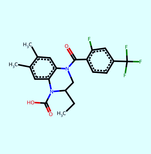 CCC1CN(C(=O)c2ccc(C(F)(F)F)cc2F)c2cc(C)c(C)cc2N1C(=O)O